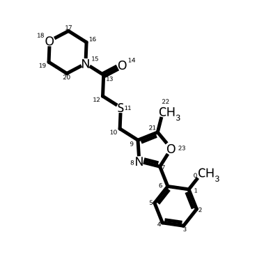 Cc1ccccc1-c1nc(CSCC(=O)N2CCOCC2)c(C)o1